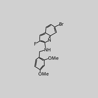 COc1ccc(CNc2nc3cc(Br)ccc3cc2F)c(OC)c1